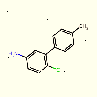 Cc1ccc(-c2cc(N)ccc2Cl)cc1